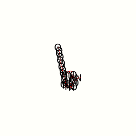 CCN(CC)c1ccc(NC(=O)c2cccc(C(=O)N(C)CCN3CCCN(C(=O)OCCOCCOCCOCCOCCOCCOCCOCCOCCOCCOCCOC)CC3)c2)c(-c2cc(C(=O)NC3CCCc4ccccc43)ccn2)c1